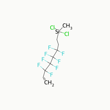 C=CC(F)(F)C(F)(F)C(F)(F)C(F)(F)CC[Si](C)(Cl)Cl